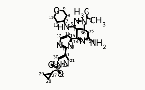 CC(C)n1nc(NC2CCOCC2)c2c(-c3ccnc(-c4cnn(S(=O)(=O)C5CC5)c4)n3)nc(N)cc21